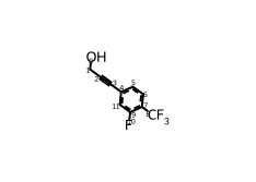 OCC#Cc1ccc(C(F)(F)F)c(F)c1